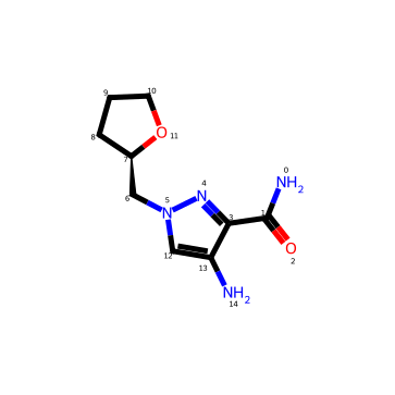 NC(=O)c1nn(C[C@H]2CCCO2)cc1N